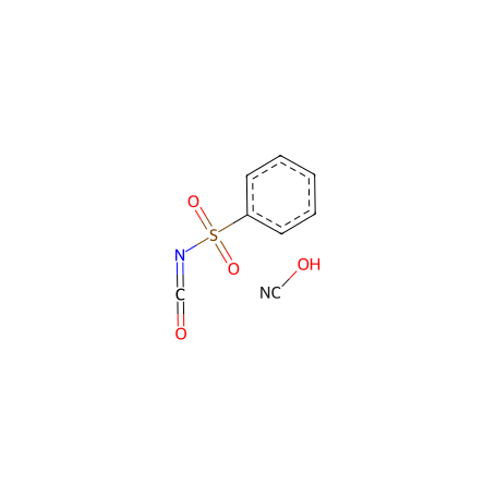 N#CO.O=C=NS(=O)(=O)c1ccccc1